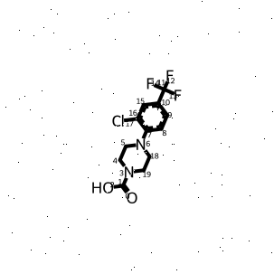 O=C(O)N1CCN(c2ccc(C(F)(F)F)cc2Cl)CC1